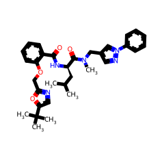 CC(C)C[C@@H](NC(=O)c1ccccc1OCc1ncc(C(C)(C)C)o1)C(=O)N(C)Cc1cnn(-c2ccccc2)c1